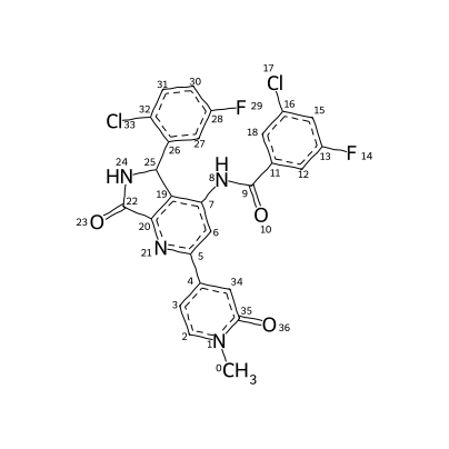 Cn1ccc(-c2cc(NC(=O)c3cc(F)cc(Cl)c3)c3c(n2)C(=O)NC3c2cc(F)ccc2Cl)cc1=O